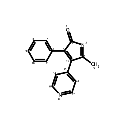 CC1=NC(=O)C(c2ccccc2)=C1c1ccncc1